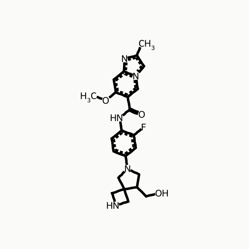 COc1cc2nc(C)cn2cc1C(=O)Nc1ccc(N2CC(CO)C3(CNC3)C2)cc1F